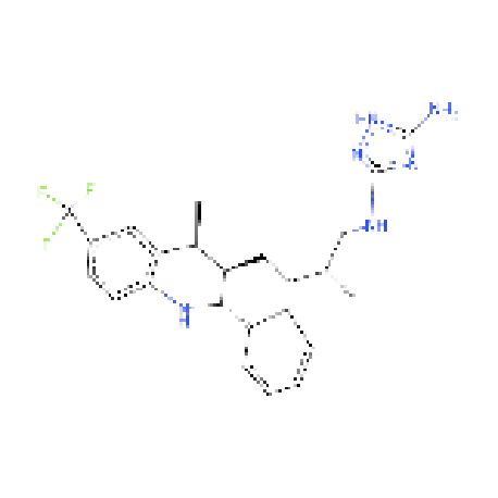 C[C@H](CC[C@@H]1[C@H](C)c2cc(C(F)(F)F)ccc2N[C@H]1C1C=CC=CC1)CNc1n[nH]c(N)n1